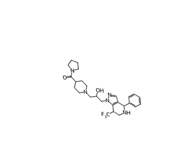 O=C(C1CCN(CC(O)Cn2ncc3c2C(C(F)(F)F)CNC3c2ccccc2)CC1)N1CCCC1